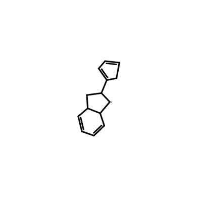 [C]1C(C2=CC=CC2)CC2C=CC=CC12